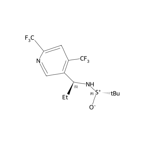 CC[C@H](N[S@@+]([O-])C(C)(C)C)c1cnc(C(F)(F)F)cc1C(F)(F)F